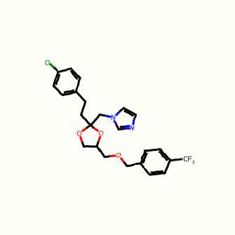 FC(F)(F)c1ccc(COCC2COC(CCc3ccc(Cl)cc3)(Cn3ccnc3)O2)cc1